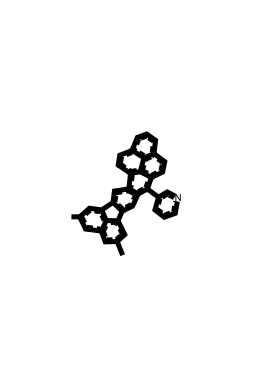 Cc1cc2c3c(cc(C)cc3c1)-c1cc3c(cc1-2)c(-c1cccnc1)c1ccc2cccc4ccc3c1c24